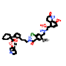 COc1cc(C(=O)NCCCc2cccc(C3(C(=O)O[C@H]4CN5CCC4CC5)CCCCC3)c2)c(Cl)cc1CNC[C@H](O)c1ccc(O)c2[nH]c(=O)ccc12